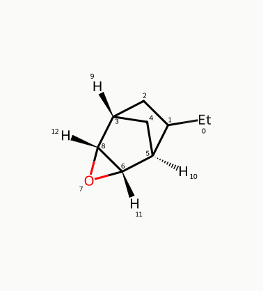 CCC1C[C@@H]2C[C@@H]1[C@@H]1O[C@H]21